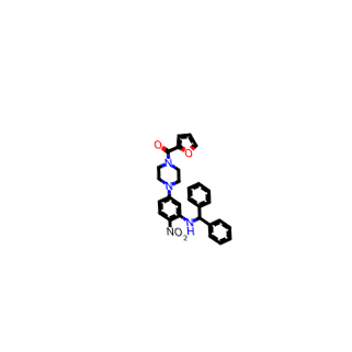 O=C(c1ccco1)N1CCN(c2ccc([N+](=O)[O-])c(NC(c3ccccc3)c3ccccc3)c2)CC1